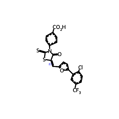 O=C(O)c1ccc(N2C(=O)/C(=C\c3ccc(-c4cc(C(F)(F)F)ccc4Cl)o3)SC2=S)cc1